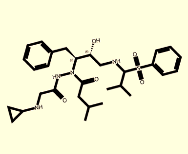 CC(C)CC(=O)N(NC(=O)CNC1CC1)[C@@H](Cc1ccccc1)[C@H](O)CNC(C(C)C)S(=O)(=O)c1ccccc1